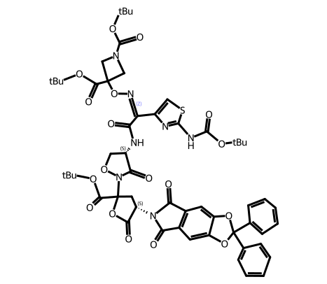 CC(C)(C)OC(=O)Nc1nc(/C(=N/OC2(C(=O)OC(C)(C)C)CN(C(=O)OC(C)(C)C)C2)C(=O)N[C@H]2CON(C3(C(=O)OC(C)(C)C)C[C@H](N4C(=O)c5cc6c(cc5C4=O)OC(c4ccccc4)(c4ccccc4)O6)C(=O)O3)C2=O)cs1